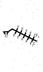 FC(F)(F)C(F)(C(F)(F)F)C(F)(F)C(F)(F)C(F)(F)C(F)(F)CC1CO1